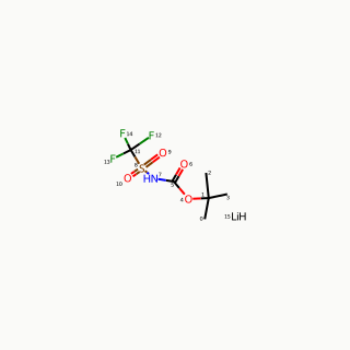 CC(C)(C)OC(=O)NS(=O)(=O)C(F)(F)F.[LiH]